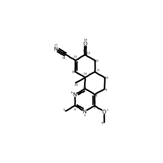 COc1nc(C)nc2c1CCC1CC(=O)C(C#N)=CC21C